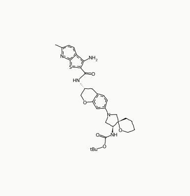 Cc1ccc2c(N)c(C(=O)N[C@H]3COc4cc(N5C[C@H](NC(=O)OC(C)(C)C)[C@]6(CCCCO6)C5)ccc4C3)sc2n1